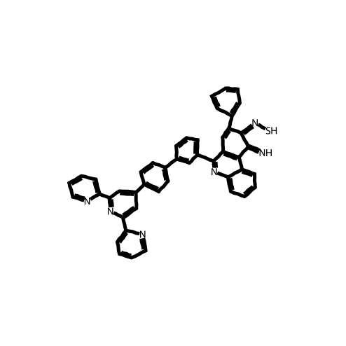 N=C1/C(=N\S)C(c2ccccc2)=Cc2c(-c3cccc(-c4ccc(-c5cc(-c6ccccn6)nc(-c6ccccn6)c5)cc4)c3)nc3ccccc3c21